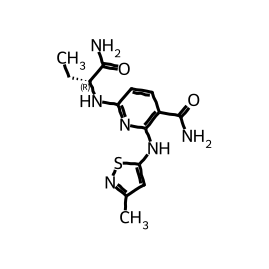 CC[C@@H](Nc1ccc(C(N)=O)c(Nc2cc(C)ns2)n1)C(N)=O